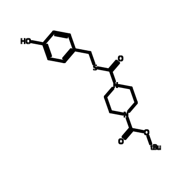 CC(C)(C)OC(=O)N1CCN(C(=O)SCc2ccc(O)cc2)CC1